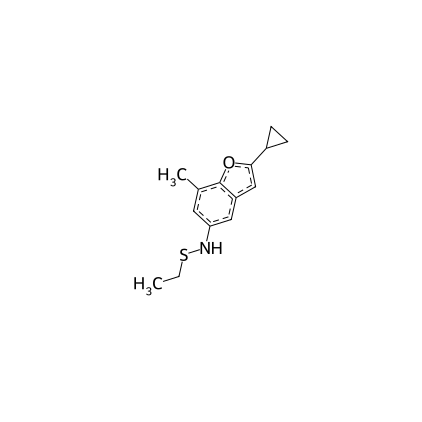 CCSNc1cc(C)c2oc(C3CC3)cc2c1